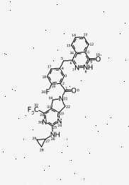 O=C(c1cc(Cc2n[nH]c(=O)c3ccccc23)ccc1F)N1Cc2nc(NC3CC3)nc(C(F)(F)F)c2C1